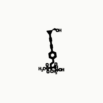 CC(CCc1ccc(C#CC#CC2C[C@@H]2CO)cc1)(C(=O)NO)S(C)(=O)=O